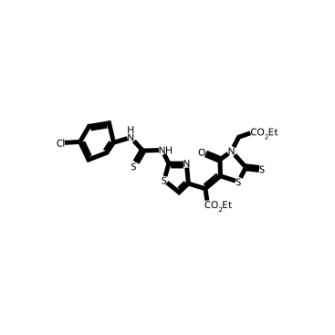 CCOC(=O)CN1C(=O)C(=C(C(=O)OCC)c2csc(NC(=S)Nc3ccc(Cl)cc3)n2)SC1=S